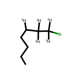 [2H]C(CCCC)C([2H])([2H])C([2H])([2H])Br